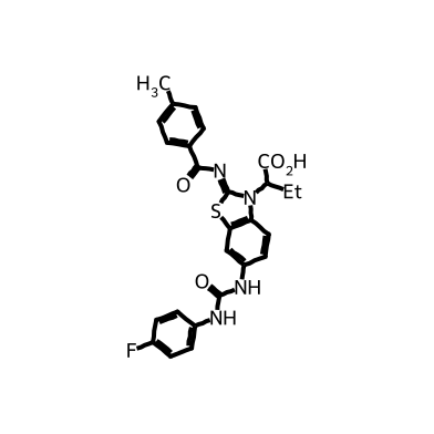 CCC(C(=O)O)n1/c(=N/C(=O)c2ccc(C)cc2)sc2cc(NC(=O)Nc3ccc(F)cc3)ccc21